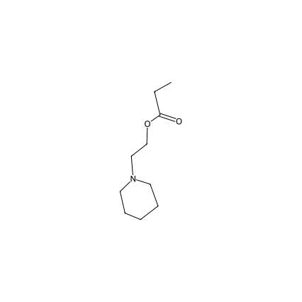 CCC(=O)OCCN1CCCCC1